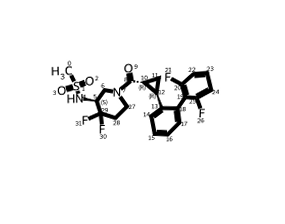 CS(=O)(=O)N[C@H]1CN(C(=O)[C@@H]2C[C@H]2c2ccccc2-c2c(F)cccc2F)CCC1(F)F